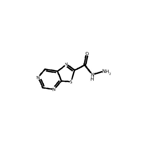 NNC(=O)c1nc2cncnc2s1